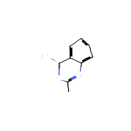 CC1=Nc2ccccc2[C@H](N)N1